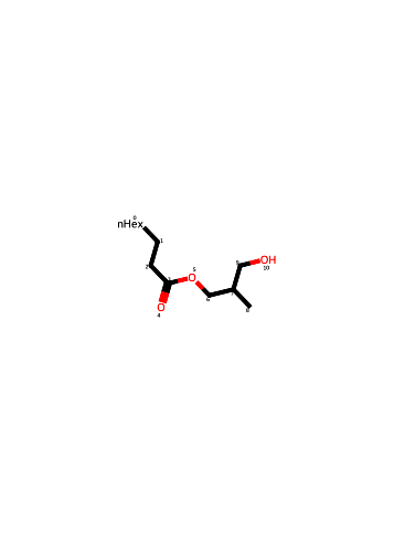 CCCCCCCCC(=O)OCC(C)CO